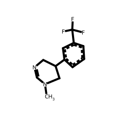 CN1C=NCC(c2cccc(C(F)(F)F)c2)C1